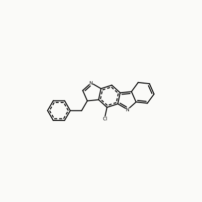 Clc1c2c(cc3c1=NC1=CC=CCC=31)N=CC2Cc1ccccc1